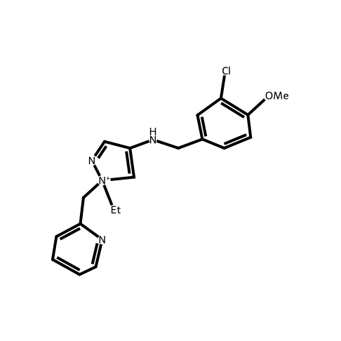 CC[N+]1(Cc2ccccn2)C=C(NCc2ccc(OC)c(Cl)c2)C=N1